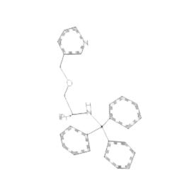 CC(C)[C@@H](COCc1cccnc1)NC(c1ccccc1)(c1ccccc1)c1ccccc1